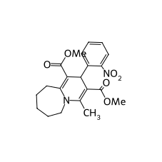 COC(=O)C1=C(C)N2CCCCCC2=C(C(=O)OC)C1c1ccccc1[N+](=O)[O-]